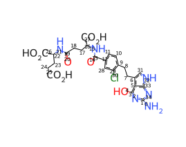 Nc1nc(O)c2c(CCc3ccc(C(=O)N[C@@H](CCC(=O)N[C@@H](CCC(=O)O)C(=O)O)C(=O)O)cc3Cl)c[nH]c2n1